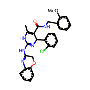 COc1ccccc1CNC(=O)C1=C(C)NC(NC2=Nc3ccccc3OC2)=NC1c1ccccc1Cl